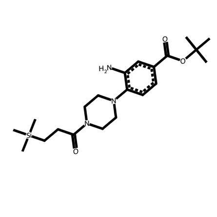 CC(C)(C)OC(=O)c1ccc(N2CCN(C(=O)CC[Si](C)(C)C)CC2)c(N)c1